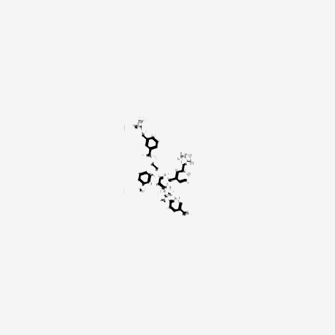 COc1ccccc1Oc1c(NS(=O)(=O)c2ccc(C(C)C)cn2)nc(-c2ccnc(-c3nnn[nH]3)c2)nc1OCCOC(=O)c1cccc(CON(O)O)c1